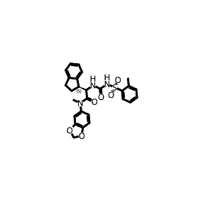 Cc1ccccc1S(=O)(=O)NC(=O)NC(C(=O)N(C)c1ccc2c(c1)OCO2)[C@H]1CCc2ccccc21